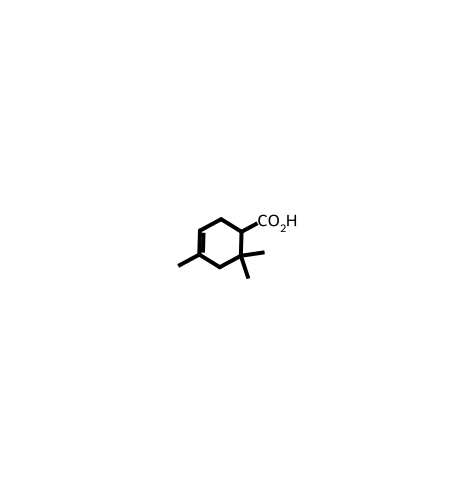 CC1=CCC(C(=O)O)C(C)(C)C1